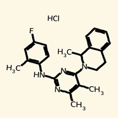 Cc1cc(F)ccc1Nc1nc(C)c(C)c(N2CCc3ccccc3C2C)n1.Cl